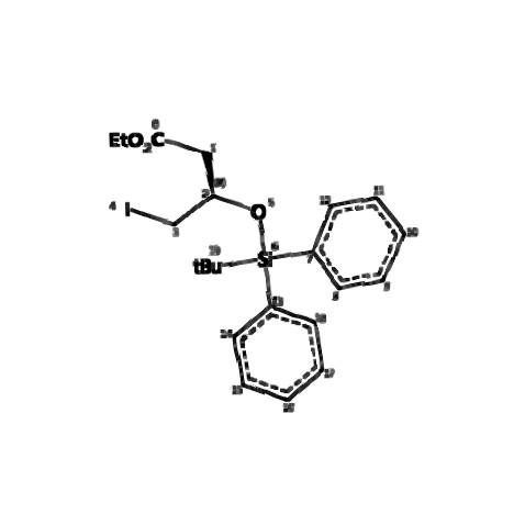 CCOC(=O)C[C@H](CI)O[Si](c1ccccc1)(c1ccccc1)C(C)(C)C